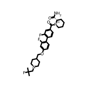 CC(C)(F)CN1CCC(COc2ccc(-c3ccc(C(=O)N4CCCC[C@H]4C(N)=O)cc3F)c(F)c2)CC1